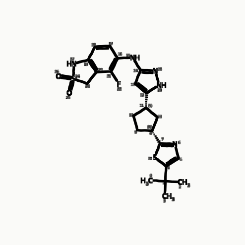 CC(C)(C)c1cnc([C@@H]2CC[C@H](c3cc(Nc4ccc5c(c4F)CS(=O)(=O)N5)n[nH]3)C2)s1